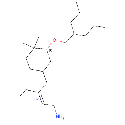 CCCC(CCC)CO[C@@H]1CC(C/C(=C\CN)CC)CCC1(C)C